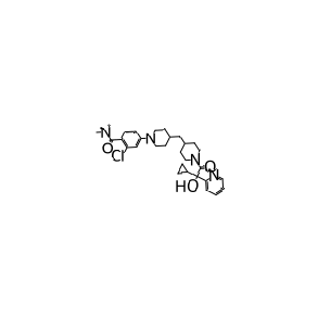 CN(C)C(=O)c1ccc(N2CCC(CC3CCN(C(=O)C(O)(c4ccccn4)C4CC4)CC3)CC2)cc1Cl